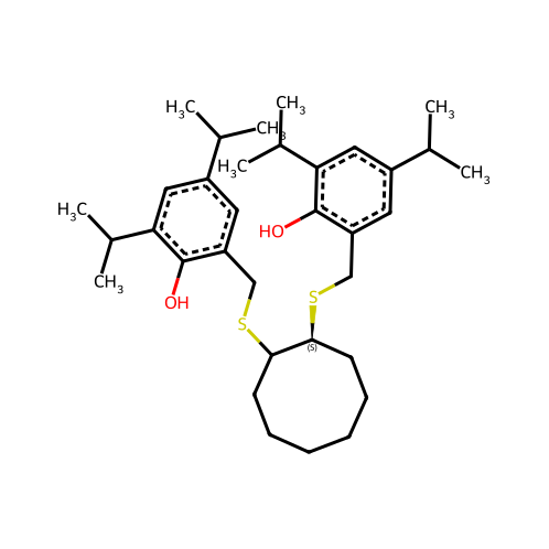 CC(C)c1cc(CSC2CCCCCC[C@@H]2SCc2cc(C(C)C)cc(C(C)C)c2O)c(O)c(C(C)C)c1